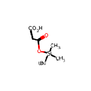 CC(C)(C)[Si](C)(C)OC(=O)CC(=O)O